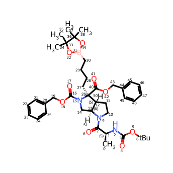 C[C@H](NC(=O)OC(C)(C)C)C(=O)N1CC[C@H]2[C@@H]1CN(C(=O)OCc1ccccc1)[C@@]2(CCCCB1OC(C)(C)C(C)(C)O1)C(=O)OCc1ccccc1